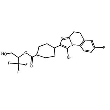 O=C(OC(CO)C(F)(F)F)N1CCC(c2nc3n(c2Br)-c2ccc(F)cc2CC3)CC1